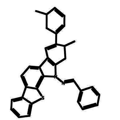 CC1C=CC=C(C2=Cc3c(n(/N=C/c4ccccc4)c4c3ccc3c5ccccc5sc34)CC2C)C1